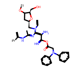 C=CN(C[C@H]1CC(OCC)[C@@H](CO)O1)C(/N=C(\C)NC(=C)C(C)C)=C(\N)C(=N)OC(=O)CN(c1ccccc1)c1ccccc1